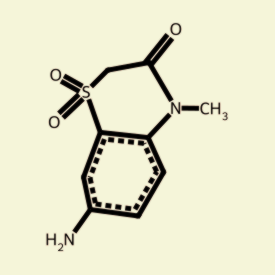 CN1C(=O)CS(=O)(=O)c2cc(N)ccc21